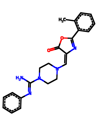 Cc1ccccc1C1=NC(=CN2CCN(C(N)=Nc3ccccc3)CC2)C(=O)O1